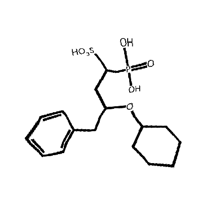 O=P(O)(O)C(CC(Cc1ccccc1)OC1CCCCC1)S(=O)(=O)O